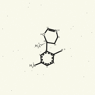 C[C@@]1(c2cc(N)ccc2F)CCN=CO1